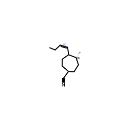 CC/C=C\C1CCC(C#N)CC[C@H]1C